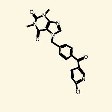 Cn1c(=O)c2c(ncn2Cc2ccc(C(=O)c3ccc(Cl)nc3)cc2)n(C)c1=O